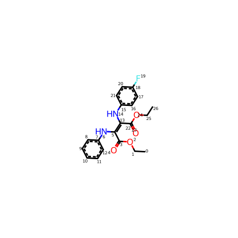 CCOC(=O)C(Nc1ccccc1)=C(Nc1ccc(F)cc1)C(=O)OCC